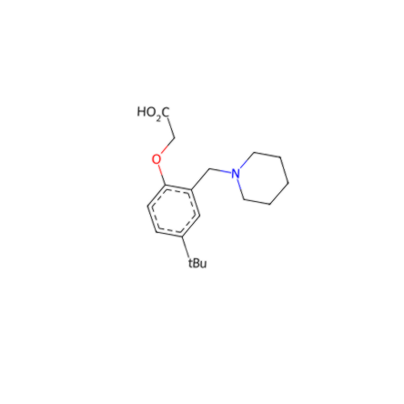 CC(C)(C)c1ccc(OCC(=O)O)c(CN2CCCCC2)c1